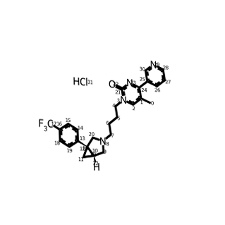 Cc1cn(CCCCN2C[C@@H]3C[C@]3(c3ccc(C(F)(F)F)cc3)C2)c(=O)nc1-c1cccnc1.Cl